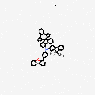 CC1(C)c2ccccc2-c2ccc(N(c3ccc(-c4cccc5c4oc4ccccc45)cc3)c3cccc4c3-c3ccccc3C43c4ccccc4-c4ccccc4-c4ccccc43)cc21